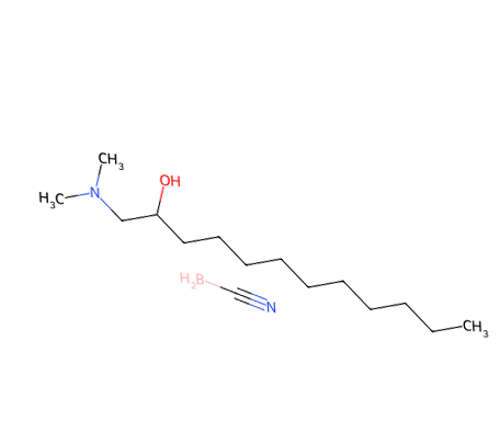 BC#N.CCCCCCCCCCC(O)CN(C)C